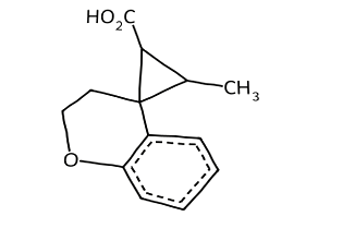 CC1C(C(=O)O)C12CCOc1ccccc12